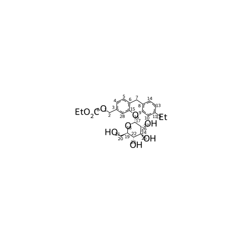 CCOC(=O)OCc1ccc(Cc2ccc(CC)cc2)c(O[C@H]2O[C@H](CO)[C@@H](O)[C@H](O)[C@H]2O)c1